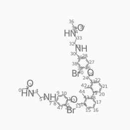 CC(=O)NCCNCc1ccc(OCc2cccc(-c3cccc(COc4ccc(CNCCNC(C)=O)cc4Br)c3C)c2C)c(Br)c1